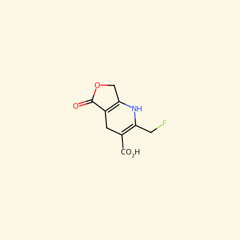 O=C(O)C1=C(CF)NC2=C(C1)C(=O)OC2